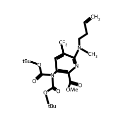 C=CCCN(C)c1nc(C(=O)OC)c(N(C(=O)OC(C)(C)C)C(=O)OC(C)(C)C)cc1C(F)(F)F